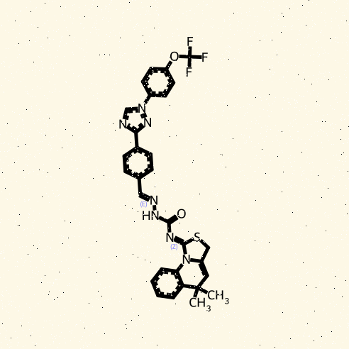 CC1(C)C=C2CS/C(=N\C(=O)N/N=C/c3ccc(-c4ncn(-c5ccc(OC(F)(F)F)cc5)n4)cc3)N2c2ccccc21